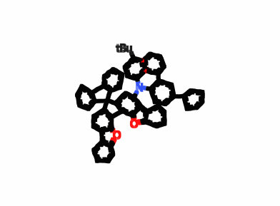 CC(C)(C)c1ccc(N(c2ccc(-c3ccccc3)cc2-c2ccccc2)c2cc3c(c4oc5ccccc5c24)-c2c(ccc4c2oc2ccccc24)C32c3ccccc3-c3ccccc32)cc1